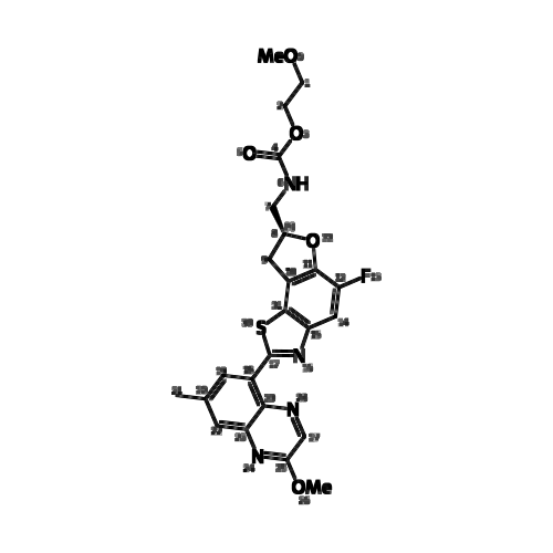 COCCOC(=O)NC[C@@H]1Cc2c(c(F)cc3nc(-c4cc(C)cc5nc(OC)cnc45)sc23)O1